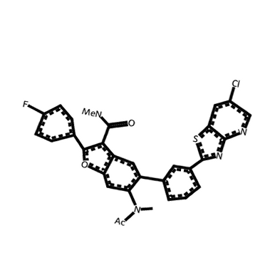 CNC(=O)c1c(-c2ccc(F)cc2)oc2cc(N(C)C(C)=O)c(-c3cccc(-c4nc5ncc(Cl)cc5s4)c3)cc12